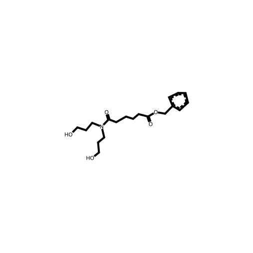 O=C(CCCCC(=O)N(CCCO)CCCO)OCc1ccccc1